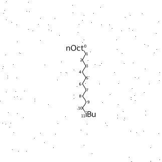 [CH2]CCCCCCCCCCCCCCCCCC(C)CC